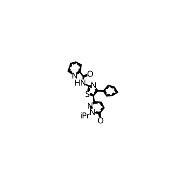 CC(C)n1nc(-c2sc(NC(=O)c3ccccn3)nc2-c2ccccc2)ccc1=O